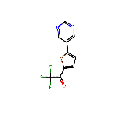 O=C(c1ccc(-c2cncnc2)s1)C(F)(F)F